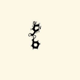 O=C(OCc1ccccc1)c1cncc(Br)c1